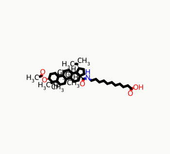 CC(=O)O[C@H]1CC[C@]2(C)C3CC[C@@H]4[C@H]5[C@H](C(C)C)CC[C@]5(C(=O)NCCCCCCCCCCC(=O)O)CC[C@@]4(C)[C@]3(C)CC[C@H]2C1(C)C